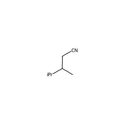 CC(C)C(C)CC#N